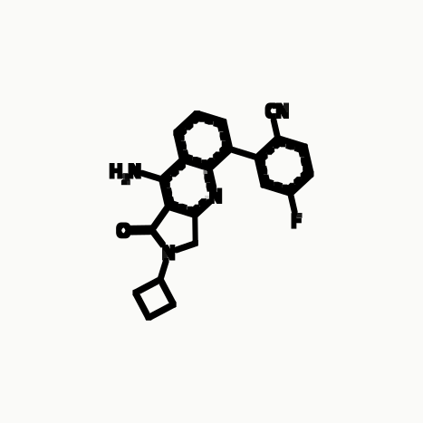 N#Cc1ccc(F)cc1-c1cccc2c(N)c3c(nc12)CN(C1CCC1)C3=O